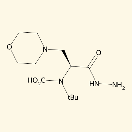 CC(C)(C)N(C(=O)O)[C@@H](CN1CCOCC1)C(=O)NN